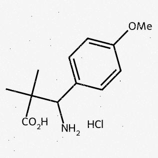 COc1ccc(C(N)C(C)(C)C(=O)O)cc1.Cl